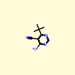 CC(C)(C)c1ncnc(N)c1C#N